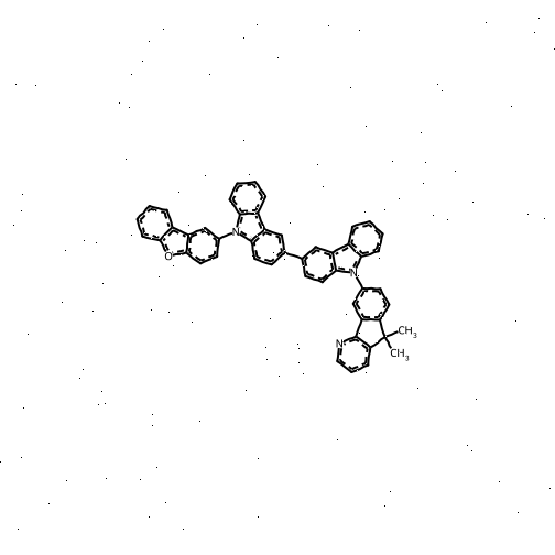 CC1(C)c2ccc(-n3c4ccccc4c4cc(-c5ccc6c(c5)c5ccccc5n6-c5ccc6oc7ccccc7c6c5)ccc43)cc2-c2ncccc21